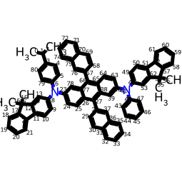 CC(C)c1ccc(N(c2ccc3c(c2)C(C)(C)c2ccccc2-3)c2ccc3c(-c4ccc5ccccc5c4)c4cc(N(c5ccccc5)c5ccc6c(c5)C(C)(C)c5ccccc5-6)ccc4c(-c4ccc5ccccc5c4)c3c2)cc1